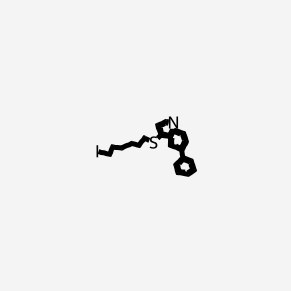 ICCCCCCSc1ccnc2ccc(-c3ccccc3)cc12